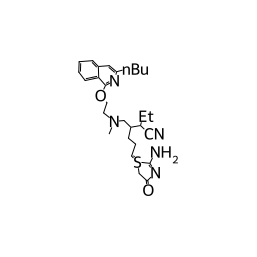 CCCCc1cc2ccccc2c(OCCN(C)CC(CC/C=S2/CC(=O)N=C2N)C(C#N)CC)n1